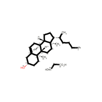 CC(C)CCCC(C)[C@H]1CC[C@H]2[C@@H]3CC=C4C[C@@H](O)CC[C@]4(C)[C@H]3CC[C@]12C.CCCCCCCCCCCC(=O)O